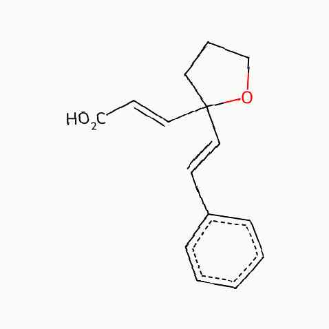 O=C(O)C=CC1(C=Cc2ccccc2)CCCO1